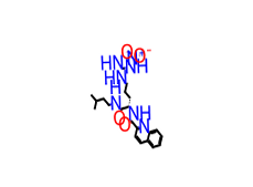 CC(C)CCNC(=O)[C@H](CCCNC(=N)N[N+](=O)[O-])NC(=O)c1ccc2ccccc2n1